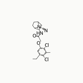 CCc1cc(OCC(=O)NC2CC3CCC2N3C#N)c(Cl)c(C)c1Cl